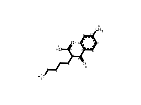 CCCCCC(C(=O)O)C(=O)c1ccc(C)cc1